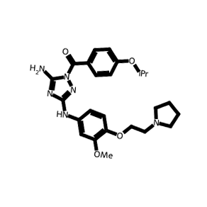 COc1cc(Nc2nc(N)n(C(=O)c3ccc(OC(C)C)cc3)n2)ccc1OCCN1CCCC1